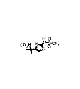 CC(C)(C(=O)O)c1csc(NS(=O)(=O)C(F)(F)F)n1